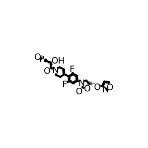 O=P#C[C@@H](O)C(=O)N1CC=C(c2c(F)cc(N3C[C@H](COc4ccon4)OC3=O)cc2F)CC1